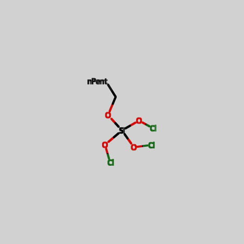 CCCCCCO[Si](OCl)(OCl)OCl